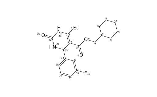 CCC1=C(C(=O)OCC2CCCCC2)C(c2cccc(F)c2)NC(=O)N1